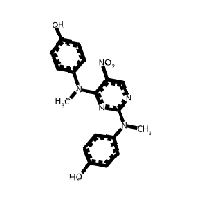 CN(c1ccc(O)cc1)c1ncc([N+](=O)[O-])c(N(C)c2ccc(O)cc2)n1